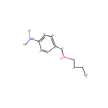 [Li][CH2]CCOCc1ccc(N(C)C)cc1